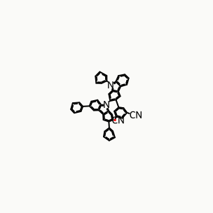 N#Cc1cc(C#N)cc(-c2cc3c4ccccc4n(-c4ccccc4)c3cc2-n2c3ccc(-c4ccccc4)cc3c3cc(-c4ccccc4)ccc32)c1